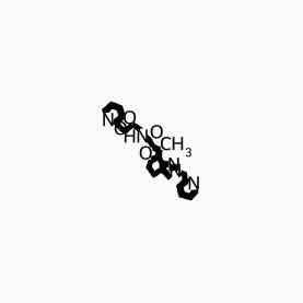 Cc1c(C(=O)NCC2COc3ncccc3O2)oc2c1-c1nn(Cc3ccccn3)cc1CC2